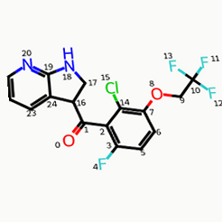 O=C(c1c(F)ccc(OCC(F)(F)F)c1Cl)C1CNc2ncccc21